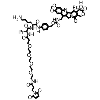 CC[C@@]1(O)C(=O)OCc2c1cc1n(c2=O)Cc2c-1nc1cc3c(cc1c2CNC(=O)OCc1ccc(NC(=O)[C@H](CCCCN)NC(=O)[C@@H](NC(=O)CCOCCOCCOCCOCCNC(=O)CCN2C(=O)C=CC2=O)C(C)C)cc1)OCO3